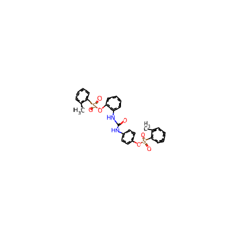 Cc1ccccc1S(=O)(=O)Oc1ccc(NC(=O)Nc2ccccc2OS(=O)(=O)c2ccccc2C)cc1